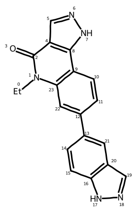 CCn1c(=O)c2cn[nH]c2c2ccc(-c3ccc4[nH]ncc4c3)cc21